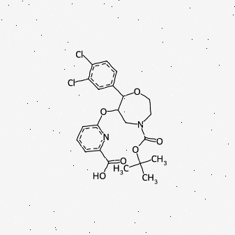 CC(C)(C)OC(=O)N1CCOC(c2ccc(Cl)c(Cl)c2)C(Oc2cccc(C(=O)O)n2)C1